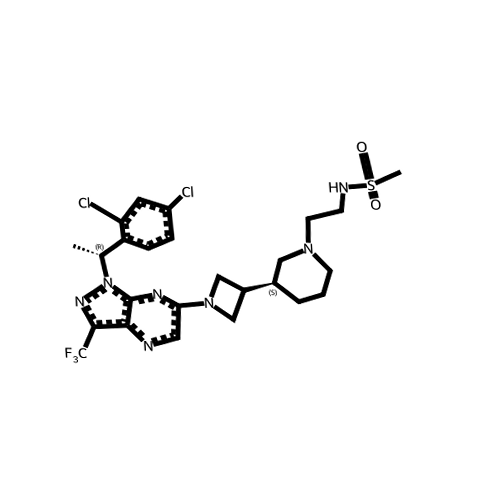 C[C@H](c1ccc(Cl)cc1Cl)n1nc(C(F)(F)F)c2ncc(N3CC([C@@H]4CCCN(CCNS(C)(=O)=O)C4)C3)nc21